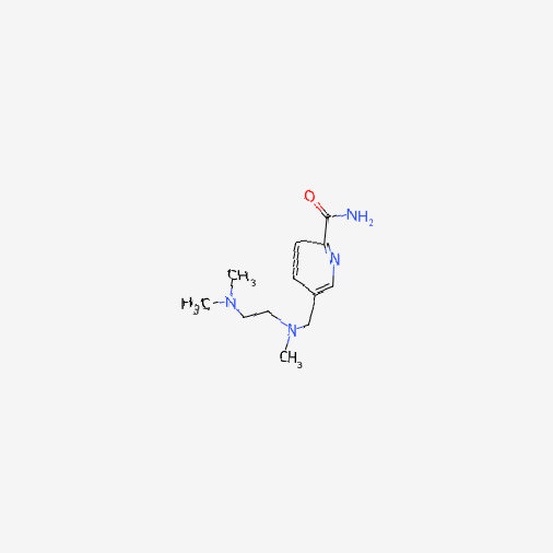 CN(C)CCN(C)Cc1ccc(C(N)=O)nc1